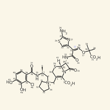 C[C@@H](C[N+]1(CC2=C(C(=O)O)N3C(=O)[C@@H](NC(=O)/C(=N\OC(C)(C)C(=O)O)c4csc(N)n4)[C@H]3SC2)CCCC1)NC(=O)c1ccc(O)c(O)c1Cl